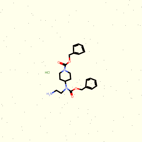 Cl.NCCN(C(=O)OCc1ccccc1)C1CCN(C(=O)OCc2ccccc2)CC1